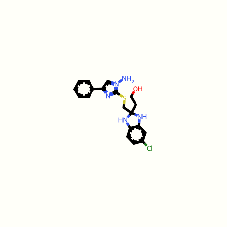 Nn1cc(-c2ccccc2)nc1SCC1(CCO)Nc2ccc(Cl)cc2N1